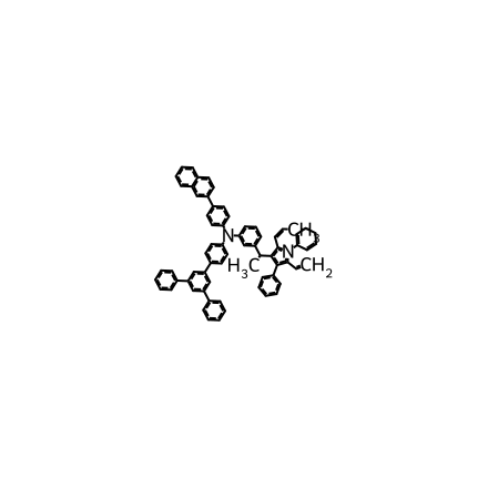 C=Cc1c(-c2ccccc2)c(C(C)c2cccc(N(c3ccc(-c4cc(-c5ccccc5)cc(-c5ccccc5)c4)cc3)c3ccc(-c4ccc5ccccc5c4)cc3)c2)c(/C=C\C)n1C1=CCCC=C1